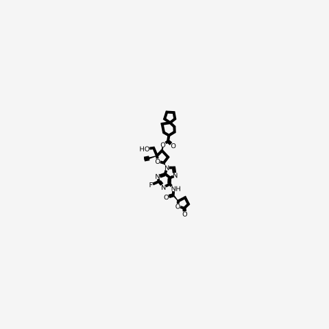 C#C[C@]1(CO)O[C@@H](n2cnc3c(NC(=O)[C@H]4CCC(=O)O4)nc(F)nc32)C[C@@H]1OC(=O)C1CCC2(CCCC2)CC1